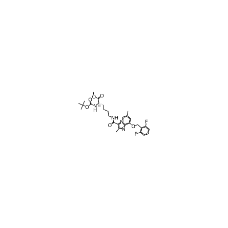 COC(=O)[C@H](CCCCNC(=O)c1c(C)nc2c(OCc3c(F)cccc3F)cc(C)cn12)NC(=O)OC(C)(C)C